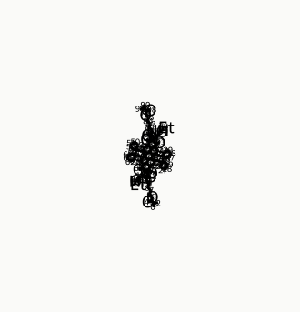 C=C(C)C(=O)OCCCCNC(=O)C(CCOCC)N1C(=O)c2cc(Oc3ccccc3)c3c4c(Oc5ccccc5)cc5c6c(cc(Oc7ccccc7)c(c7c(Oc8ccccc8)cc(c2c37)C1=O)c64)C(=O)N(C(CCOCC)C(=O)NCCCCOC(=O)C(=C)C)C5=O